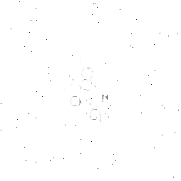 C[C@H](Nc1ncnc(N)c1C#N)c1nc2ccc(F)cc2c(C(=O)N2CCOCC2)c1-c1ccccc1